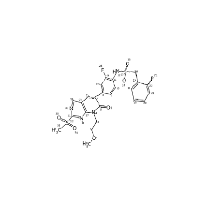 COCCn1c(=O)c(-c2ccc(NS(=O)(=O)Cc3ccccc3F)c(F)c2)cc2cnc(S(C)(=O)=O)nc21